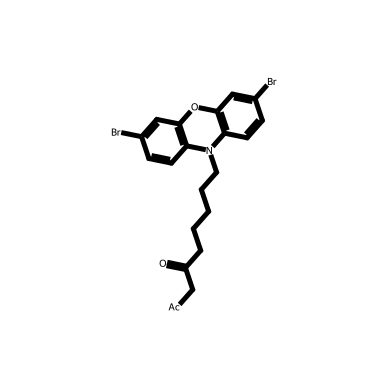 CC(=O)CC(=O)CCCCCN1c2ccc(Br)cc2Oc2cc(Br)ccc21